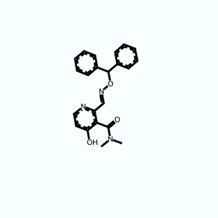 CN(C)C(=O)c1c(O)ccnc1C=NOC(c1ccccc1)c1ccccc1